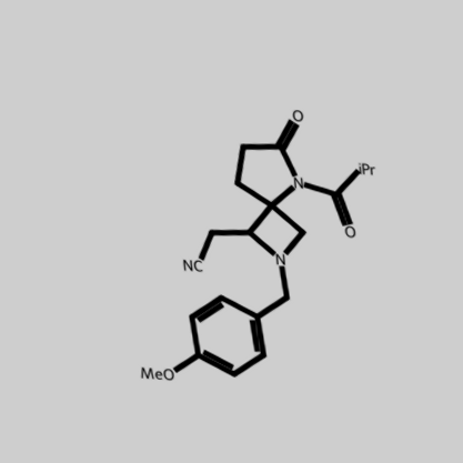 COc1ccc(CN2CC3(CCC(=O)N3C(=O)C(C)C)C2CC#N)cc1